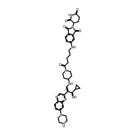 N=C(/C(=C\NC1CCN(C(=O)CCCCNc2ccc3c(c2)C(=O)N(C2CCC(=O)NC2=O)C3=O)CC1)c1cnc2ccc(N3CCNCC3)cc2n1)C1CC1